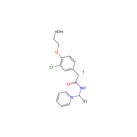 CCCCCCCCCCCCOc1ccc(CC(=O)NC(CC)[n+]2ccccc2)cc1Cl.[I-]